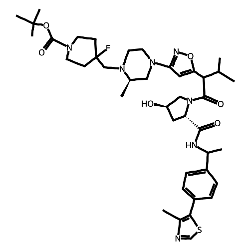 Cc1ncsc1-c1ccc(C(C)NC(=O)[C@@H]2C[C@@H](O)CN2C(=O)C(c2cc(N3CCN(CC4(F)CCN(C(=O)OC(C)(C)C)CC4)[C@H](C)C3)no2)C(C)C)cc1